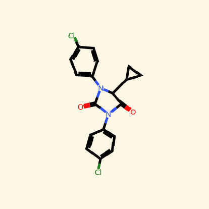 O=C1C(C2CC2)N(c2ccc(Cl)cc2)C(=O)N1c1ccc(Cl)cc1